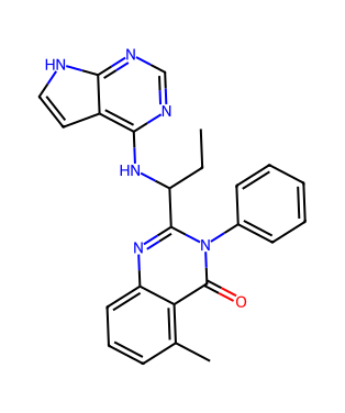 CCC(Nc1ncnc2[nH]ccc12)c1nc2cccc(C)c2c(=O)n1-c1ccccc1